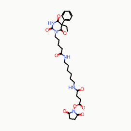 CCC1(c2ccccc2)C(=O)NC(=O)N(CCCCC(=O)NCCCCCCNC(=O)CCC(=O)ON2C(=O)CCC2=O)C1=O